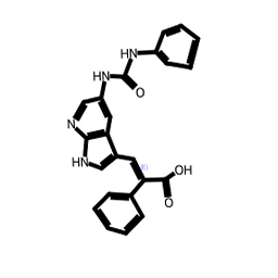 O=C(Nc1ccccc1)Nc1cnc2[nH]cc(/C=C(/C(=O)O)c3ccccc3)c2c1